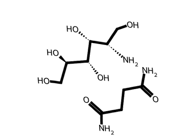 NC(=O)CCC(N)=O.N[C@@H](CO)[C@@H](O)[C@H](O)[C@H](O)CO